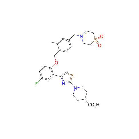 Cc1cc(CN2CCS(=O)(=O)CC2)ccc1COc1ccc(F)cc1-c1csc(N2CCC(C(=O)O)CC2)n1